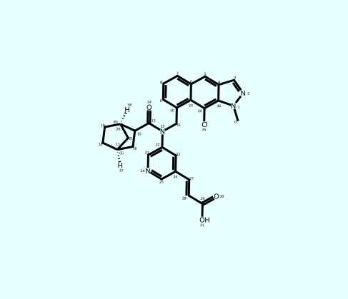 Cn1ncc2cc3cccc(CN(C(=O)C4C[C@H]5CC[C@@H]4C5)c4cncc(C=CC(=O)O)c4)c3c(Cl)c21